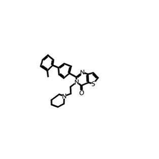 Cc1ccccc1-c1ccc(-c2nc3ccsc3c(=O)n2CCN2CCCCC2)cc1